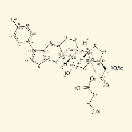 CC(=O)OC(C(=O)OC(=O)SCC#N)[C@@H]1CC[C@H]2[C@@H]3CCC4=Cc5c(cnn5-c5ccc(F)cc5)C[C@]4(C)[C@H]3[C@@H](O)C[C@]12C